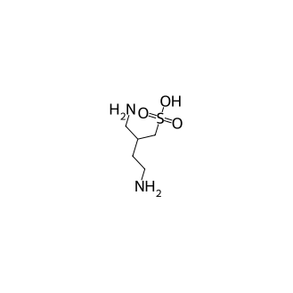 NCCC(CN)CS(=O)(=O)O